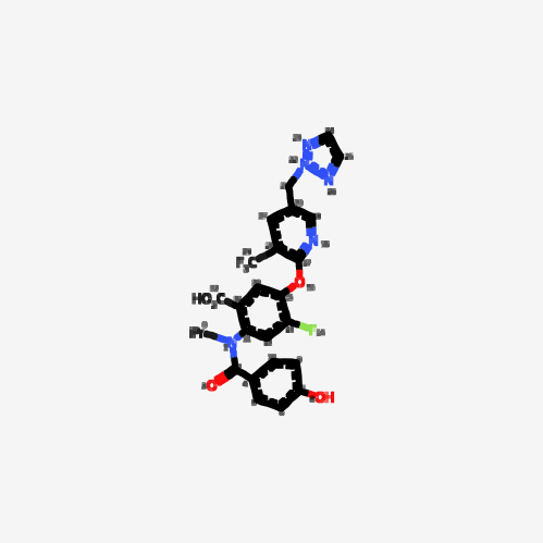 CC(C)N(C(=O)c1ccc(O)cc1)c1cc(F)c(Oc2ncc(Cn3nccn3)cc2C(F)(F)F)cc1C(=O)O